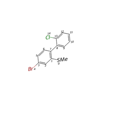 CSc1cc(Br)ccc1-c1ccccc1Cl